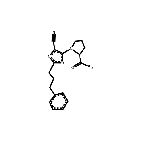 N#Cc1nc(CCCc2ccccc2)oc1N1CCC[C@H]1C(N)=O